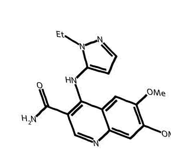 CCn1nccc1Nc1c(C(N)=O)cnc2cc(OC)c(OC)cc12